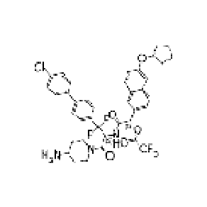 NC1CCN(C(=O)[C@H](NC(=O)[C@@H](OC(=O)C(F)(F)F)c2ccc3cc(OC4CCCC4)ccc3c2)C(F)(F)c2ccc(-c3ccc(Cl)cc3)cc2)CC1